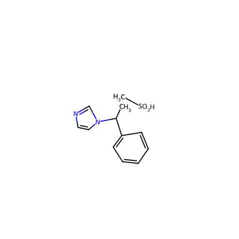 CC(c1ccccc1)n1ccnc1.CS(=O)(=O)O